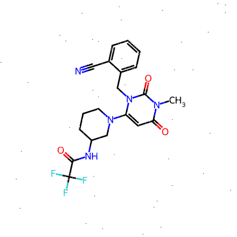 Cn1c(=O)cc(N2CCCC(NC(=O)C(F)(F)F)C2)n(Cc2ccccc2C#N)c1=O